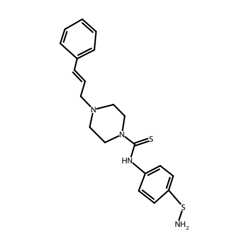 NSc1ccc(NC(=S)N2CCN(C/C=C/c3ccccc3)CC2)cc1